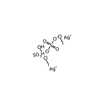 ClI.ClI.O=S(=O)(O)O.O=S(=O)([O-])[O-].[Ag+].[Ag+]